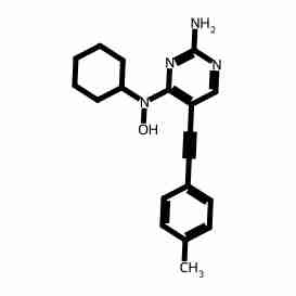 Cc1ccc(C#Cc2cnc(N)nc2N(O)C2CCCCC2)cc1